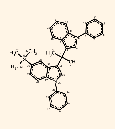 CC(C)(c1cn(-c2ccccc2)c2ccccc12)c1cn(-c2ccccc2)c2ccc([Si](C)(C)C)cc12